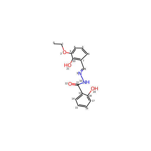 CCOc1cccc(C=NNC(=O)c2ccccc2O)c1O